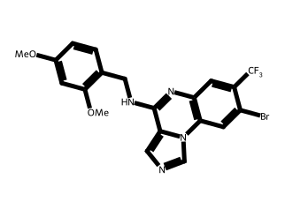 COc1ccc(CNc2nc3cc(C(F)(F)F)c(Br)cc3n3cncc23)c(OC)c1